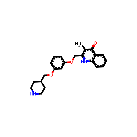 Cc1c(COc2cccc(OCC3CCNCC3)c2)[nH]c2ccccc2c1=O